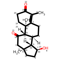 CC1=C2CC[C@H]3[C@@H]4[C@@H](O)CC[C@@]4(C)CC(=O)[C@@H]3[C@@]2(C)CCC1=O